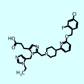 CCn1cncc1Cn1c(CCC(=O)O)cnc1CN1CCC(c2cccc(OCc3ccc(Cl)cc3F)n2)CC1